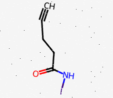 C#CCCC(=O)NI